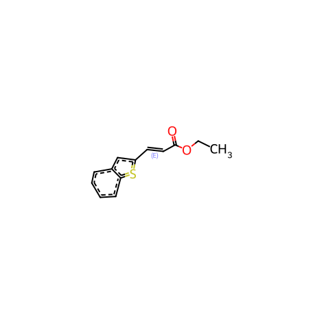 CCOC(=O)/C=C/c1cc2ccccc2s1